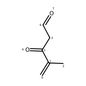 C=C(C)C(=O)CC=O